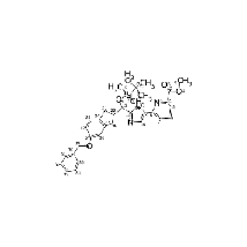 COC(=O)c1cccc(-c2cnc(C(O[Si](C)(C)C(C)(C)C)C3Cc4ccc(OCc5ccccc5)cc4C3)o2)n1